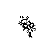 N[C@H]1CS(=O)(=O)c2cc(F)c(-c3nnc(C4CC4)o3)cc2N(Cc2ccc(Cl)cc2)C1=O